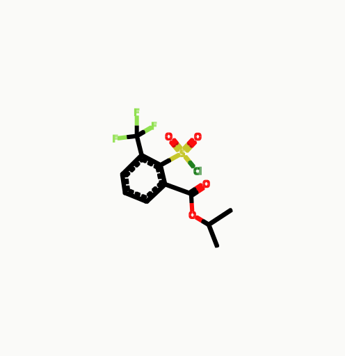 CC(C)OC(=O)c1cccc(C(F)(F)F)c1S(=O)(=O)Cl